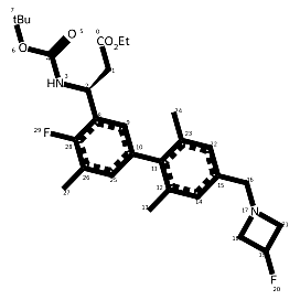 CCOC(=O)C[C@H](NC(=O)OC(C)(C)C)c1cc(-c2c(C)cc(CN3CC(F)C3)cc2C)cc(C)c1F